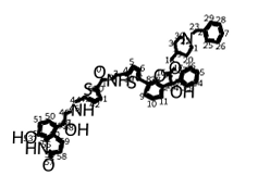 O=C(NCc1ccc(-c2cccc(C(O)(C(=O)OCC3CCN(Cc4ccccc4)CC3)c3ccccc3)c2)s1)c1ccc(CNC[C@H](O)c2ccc(O)c3[nH]c(=O)ccc23)s1